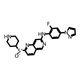 [O-][S+](c1ccc2cnc(Nc3ccc(-n4cccn4)cc3F)cc2n1)C1CCNCC1